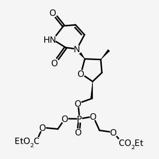 CCOC(=O)OCOP(=O)(OCOC(=O)OCC)OC[C@@H]1C[C@H](C)[C@H](n2ccc(=O)[nH]c2=O)O1